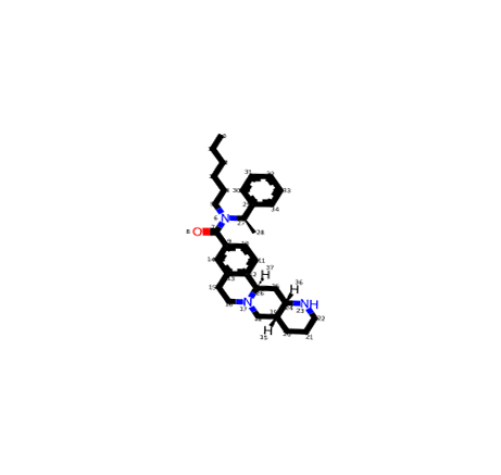 CCCCCCN(C(=O)c1ccc2c(c1)CCN1C[C@H]3CCCN[C@H]3C[C@H]21)[C@H](C)c1ccccc1